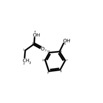 CCC(=O)O.Oc1ccccc1